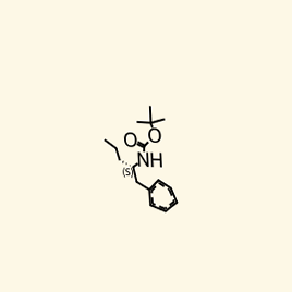 CCC[C@@H](Cc1ccccc1)NC(=O)OC(C)(C)C